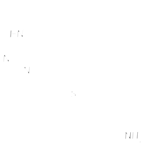 Cc1[nH]nnc1CSCCN